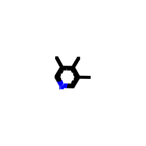 Cc1cncc(C)c1C